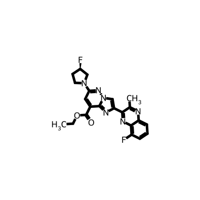 CCOC(=O)c1cc(N2CC[C@@H](F)C2)nn2cc(-c3nc4c(F)cccc4nc3C)nc12